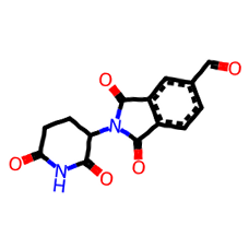 O=Cc1ccc2c(c1)C(=O)N(C1CCC(=O)NC1=O)C2=O